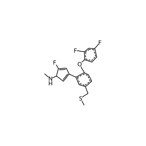 CNC1C=C(c2cc(CSC)ccc2Oc2ccc(F)cc2F)C=C1F